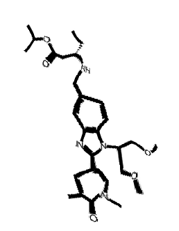 CC[C@H](NCc1ccc2c(c1)nc(-c1cc(C)c(=O)n(C)c1)n2C(COC)COC)C(=O)OC(C)C